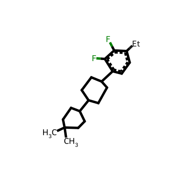 CCc1ccc(C2CCC(C3CCC(C)(C)CC3)CC2)c(F)c1F